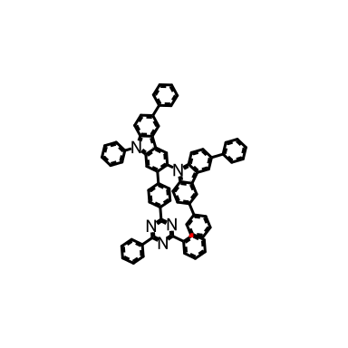 c1ccc(-c2ccc3c(c2)c2cc(-n4c5ccc(-c6ccccc6)cc5c5cc(-c6ccccc6)ccc54)c(-c4ccc(-c5nc(-c6ccccc6)nc(-c6ccccc6)n5)cc4)cc2n3-c2ccccc2)cc1